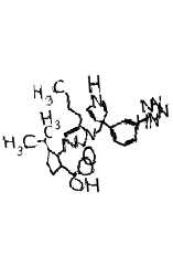 CCCCc1cn(C2C(C(=O)O)CCC2C(C)C)c(=O)n1CC1(c2cccc(-c3nnn[nH]3)c2)C=CNC=C1